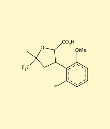 COc1cccc(F)c1C1CC(C)(C(F)(F)F)OC1C(=O)O